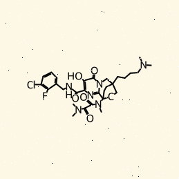 CN(C)CCCCC12CCC(N(C)C(=O)C(=O)N(C)C)(CC1)c1nc(C(=O)NCc3cccc(Cl)c3F)c(O)c(=O)n1C2